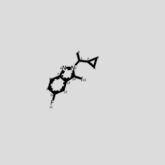 CC(C1CC1)n1nc2ccc(F)cc2c1I